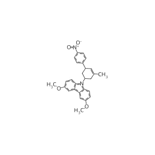 COc1ccc2c(c1)c1cc(OC)ccc1n2C1CC(C)=CC(c2ccc([N+](=O)[O-])cc2)C1